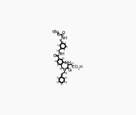 CC(C)(C)OC(=O)NCc1cccc(CNC(=O)c2ccc3c(c2)NC(CC(=O)O)C(=O)N(CCc2ccccc2)C3)c1